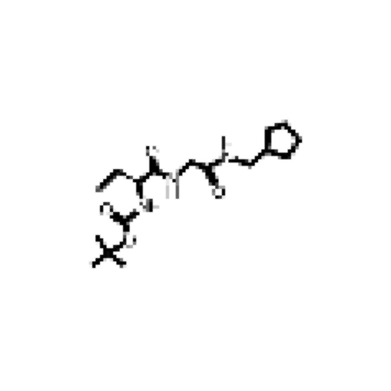 CC[C@H](NC(=O)OC(C)(C)C)C(=O)NCC(=O)NCC1CCCC1